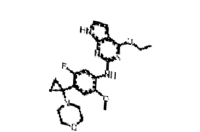 CCOc1nc(Nc2cc(F)c(C3(N4CCOCC4)CC3)cc2OC)nc2[nH]ccc12